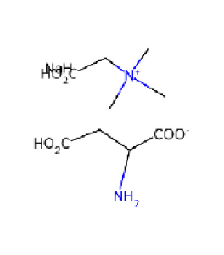 C[N+](C)(C)CC(=O)O.NC(CC(=O)O)C(=O)[O-].[NaH]